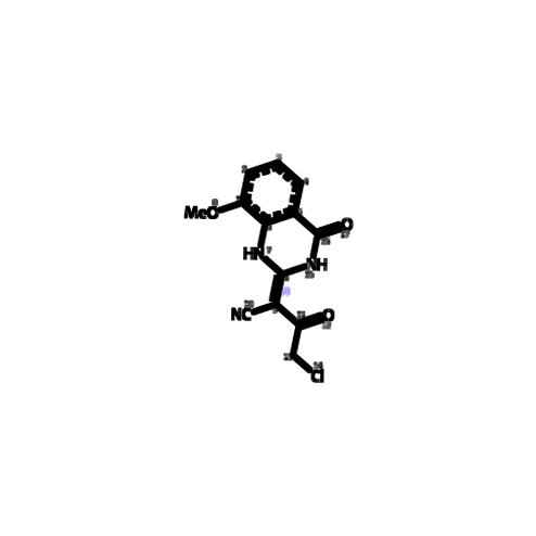 COc1cccc2c1N/C(=C(\C#N)C(=O)CCl)NC2=O